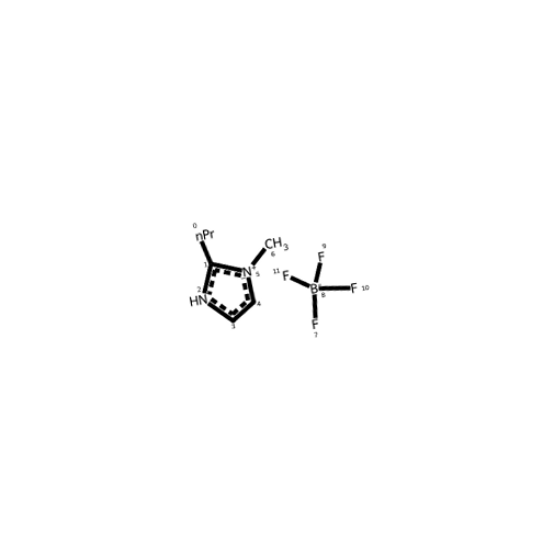 CCCc1[nH]cc[n+]1C.F[B-](F)(F)F